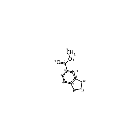 COC(=O)c1ccc2c(n1)CCC2